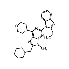 CCc1nc2ccccc2n1-c1nc(N2CCOCC2)c2nc(CN3CCCCC3)n(C)c2n1